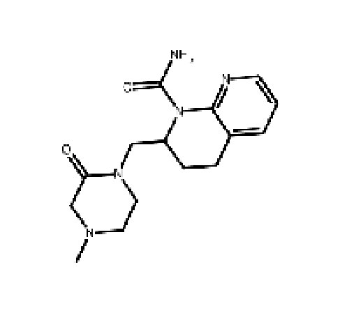 CN1CCN(CC2CCc3cccnc3N2C(N)=O)C(=O)C1